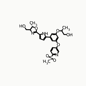 CC(CO)Oc1cc(Oc2ccc(S(C)(=O)=O)nc2)cc(-c2ccc(C3=NC(CO)[C@H](C)O3)[nH]2)c1